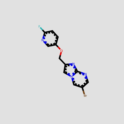 Fc1ccc(OCc2cn3cc(Br)cnc3n2)cn1